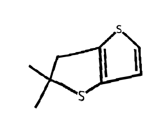 CC1(C)Cc2sccc2S1